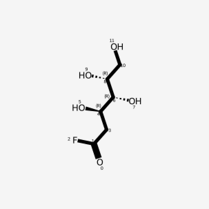 O=C(F)C[C@@H](O)[C@@H](O)[C@H](O)CO